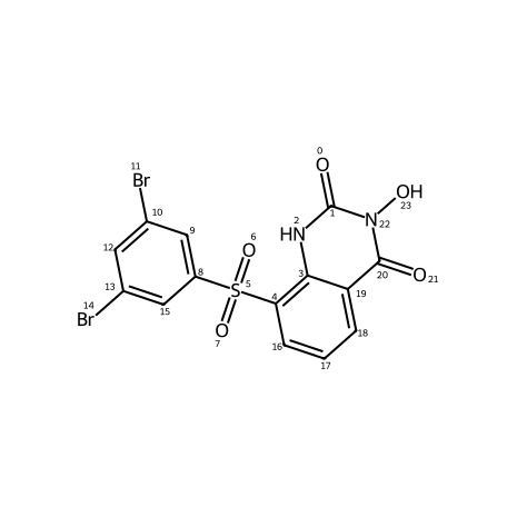 O=c1[nH]c2c(S(=O)(=O)c3cc(Br)cc(Br)c3)cccc2c(=O)n1O